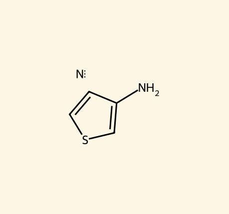 Nc1ccsc1.[N]